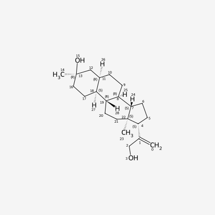 C=C(CO)[C@H]1CC[C@H]2[C@@H]3CC[C@@H]4C[C@](C)(O)CC[C@@H]4[C@H]3CC[C@]12C